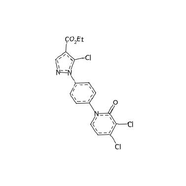 CCOC(=O)c1cnn(-c2ccc(-n3ccc(Cl)c(Cl)c3=O)cc2)c1Cl